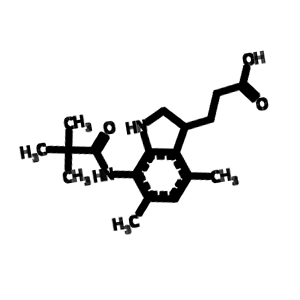 Cc1cc(C)c2c(c1NC(=O)C(C)(C)C)NCC2CCC(=O)O